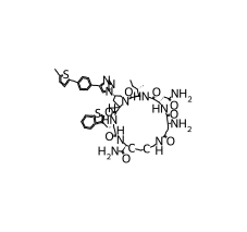 CC[C@H](C)[C@@H]1NC(=O)[C@H](CC(N)=O)NC(=O)[C@@H](N)CC(=O)NCCCC[C@@H](C(N)=O)NC(=O)[C@H](Cc2csc3ccccc23)NC(=O)[C@@H]2C[C@H](n3cc(-c4ccc(-c5ccc(C)s5)cc4)nn3)CN2C1=O